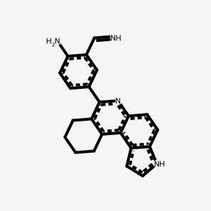 N=Cc1cc(-c2nc3ccc4[nH]ccc4c3c3c2CCCC3)ccc1N